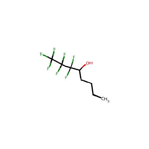 CCCCC(O)C(F)(F)C(F)(F)C(F)(F)F